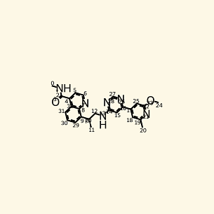 CNC(=O)c1ccnc2c([C@H](C)CNc3cc(-c4cc(C)nc(OC)c4)ncn3)cccc12